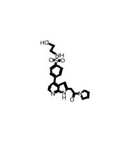 O=C(Cc1cc2c(-c3ccc(S(=O)(=O)NCCO)cc3)ccnc2[nH]1)N1CCCC1